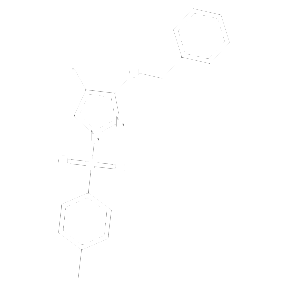 Cc1ccc(S(=O)(=O)n2cc(I)c(OCc3ccccc3)n2)cc1